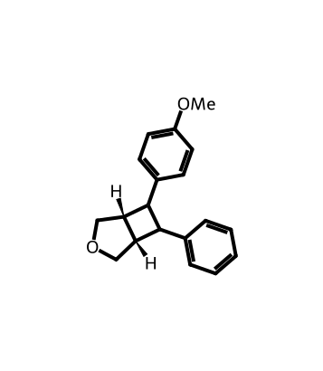 COc1ccc(C2C(c3ccccc3)[C@@H]3COC[C@H]23)cc1